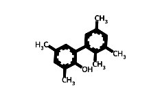 Cc1cc(C)c(C)c(-c2cc(C)cc(C)c2O)c1